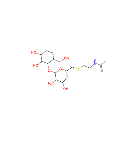 C=C(C)NCCSCC1CC(O)C(O)C(OC2C(CO)CCC(O)C2O)O1